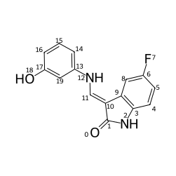 O=C1Nc2ccc(F)cc2/C1=C\Nc1cccc(O)c1